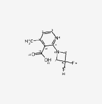 Cc1ccnc(N2CC(F)(F)C2)c1C(=O)O